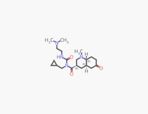 CN(C)CCNC(=O)N(CC1CC1)C(=O)[C@@H]1C[C@@H]2CC(=O)CC[C@H]2N(C)C1